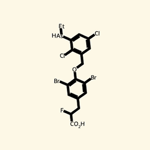 CC[AsH]c1cc(Cl)cc(COc2c(Br)cc(CC(F)C(=O)O)cc2Br)c1Cl